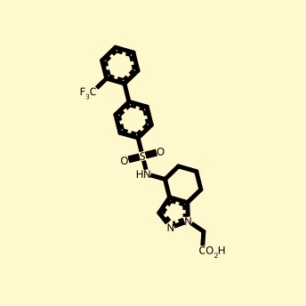 O=C(O)Cn1ncc2c1CCCC2NS(=O)(=O)c1ccc(-c2ccccc2C(F)(F)F)cc1